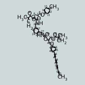 C=C(C)C(=O)OCC(COc1ccc(C)cc1)OC(=O)NCc1cccc(CNC(=O)OC(COC(=O)C(=C)C)COc2ccc(C#CC#CC#CC#CC)cc2)c1